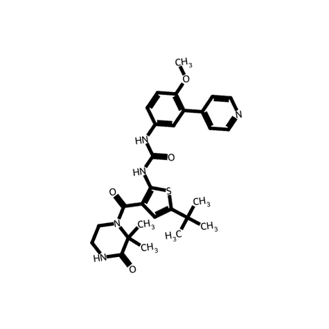 COc1ccc(NC(=O)Nc2sc(C(C)(C)C)cc2C(=O)N2CCNC(=O)C2(C)C)cc1-c1ccncc1